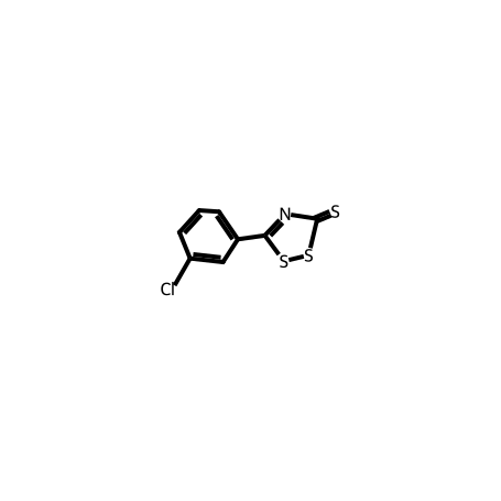 S=c1nc(-c2cccc(Cl)c2)ss1